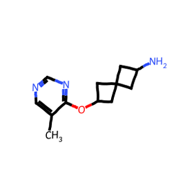 Cc1cncnc1OC1CC2(CC(N)C2)C1